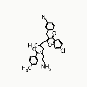 Cc1ccc(C(=O)N(CCCN)CC(C)Cc2oc3cc(Cl)ccc3c(=O)c2Cc2cccc(C#N)c2)cc1